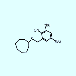 CC(C)(C)c1cc(CSC2CCCCCCC2)c(N=O)c(C(C)(C)C)c1